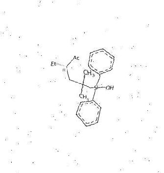 CC[C@@H](CC(C)(C)[Si](O)(c1ccccc1)c1ccccc1)C(C)=O